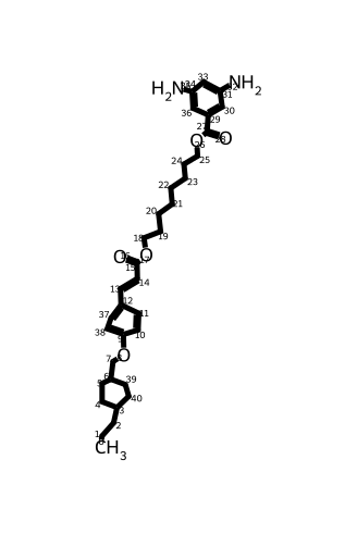 CCCC1CCC(COc2ccc(C=CC(=O)OCCCCCCCCOC(=O)c3cc(N)cc(N)c3)cc2)CC1